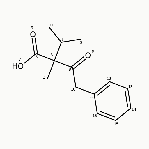 CC(C)C(C)(C(=O)O)C(=O)Cc1ccccc1